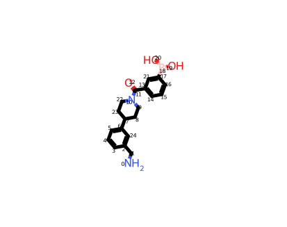 NCc1cccc(C2CCN(C(=O)c3cccc(B(O)O)c3)CC2)c1